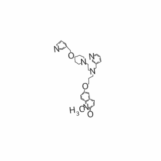 Cn1c(=O)ccc2cc(OCCCN(CCN3CCC(OCc4cccnc4)CC3)Cc3cccnc3)ccc21